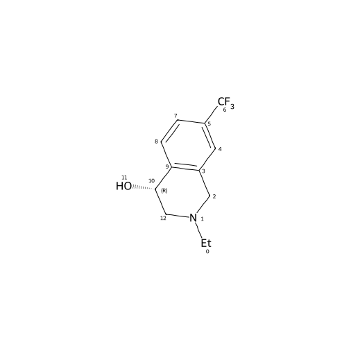 CCN1Cc2cc(C(F)(F)F)ccc2[C@@H](O)C1